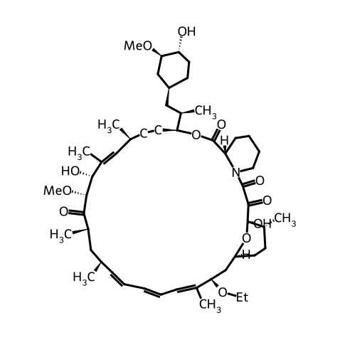 CCO[C@@H]1C[C@@H]2CC[C@@H](C)[C@@](O)(O2)C(=O)C(=O)N2CCCC[C@H]2C(=O)O[C@H]([C@H](C)C[C@@H]2CC[C@@H](O)[C@H](OC)C2)CC[C@H](C)/C=C(\C)[C@@H](O)[C@@H](OC)C(=O)[C@H](C)C[C@H](C)/C=C/C=C/C=C/1C